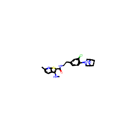 CNc1c(C(=O)NCCc2ccc(N3CC4CCC(C3)N4)c(Cl)c2)sc2nc(C)ccc12